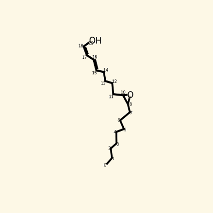 CCCCCCCCC1OC1CCCCC=C/C=C\O